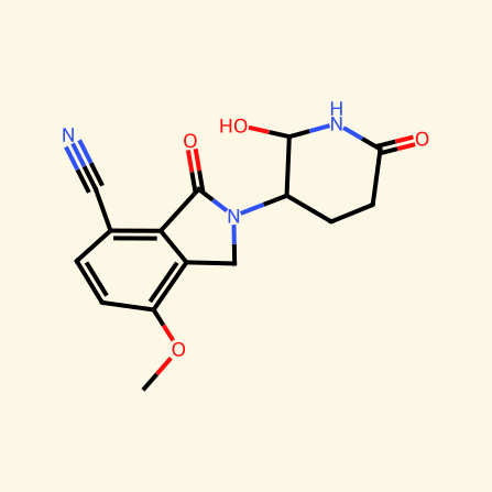 COc1ccc(C#N)c2c1CN(C1CCC(=O)NC1O)C2=O